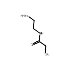 CCCCCCCCNC(=O)CC(C)(C)C